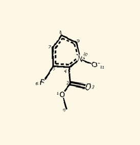 COC(=O)c1c(F)ccc[n+]1[O-]